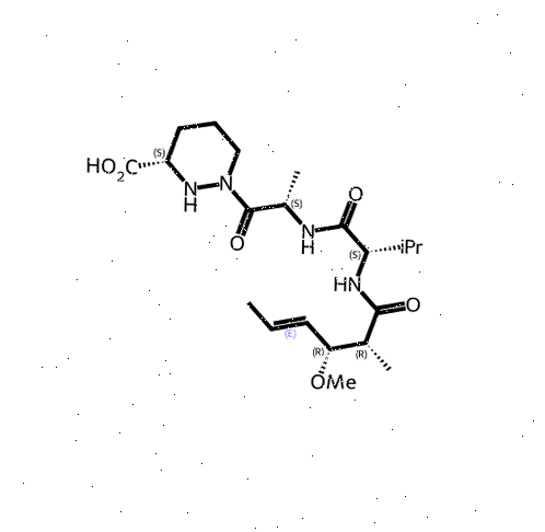 C/C=C/[C@@H](OC)[C@@H](C)C(=O)N[C@H](C(=O)N[C@@H](C)C(=O)N1CCC[C@@H](C(=O)O)N1)C(C)C